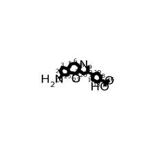 Nc1ccc2ccc3ncc(-c4ccc(C(=O)O)cc4)cc3c(=O)c2c1